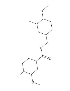 COC1CCC(COC(=O)C2CCC(C)C(OC)C2)CC1C